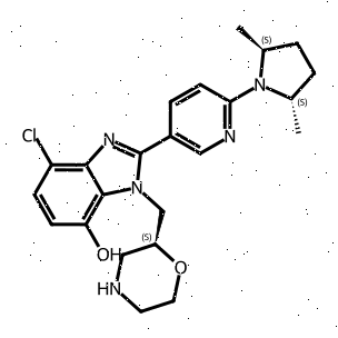 C[C@H]1CC[C@H](C)N1c1ccc(-c2nc3c(Cl)ccc(O)c3n2C[C@@H]2CNCCO2)cn1